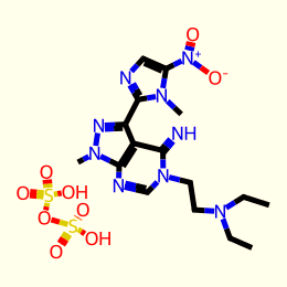 CCN(CC)CCn1cnc2c(c(-c3ncc([N+](=O)[O-])n3C)nn2C)c1=N.O=S(=O)(O)OS(=O)(=O)O